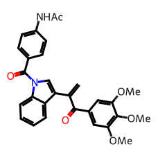 C=C(C(=O)c1cc(OC)c(OC)c(OC)c1)c1cn(C(=O)c2ccc(NC(C)=O)cc2)c2ccccc12